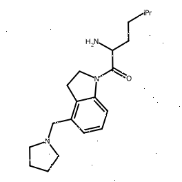 CC(C)CCC(N)C(=O)N1CCc2c(CN3CCCC3)cccc21